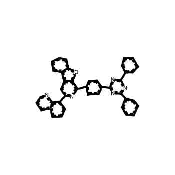 c1ccc(-c2nc(-c3ccccc3)nc(-c3ccc(-c4nc(-c5cccc6cccnc56)cc5c4oc4ccccc45)cc3)n2)cc1